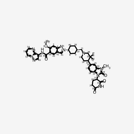 CC(C)Oc1cc2nn([C@H]3CC[C@H](CN4CCC(c5ccc6c(c5)n(C)c(=O)n6C5CCC(=O)NC5=O)C(F)(F)C4)CC3)cc2cc1C(=O)Nc1cnn2cccnc12